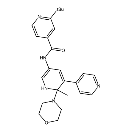 CC(C)(C)c1cc(C(=O)NC2=CNC(C)(N3CCOCC3)C(c3ccncc3)=C2)ccn1